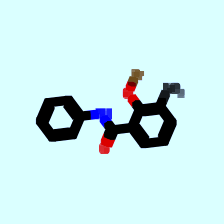 O=C(Nc1ccccc1)c1cccc([N+](=O)[O-])c1OBr